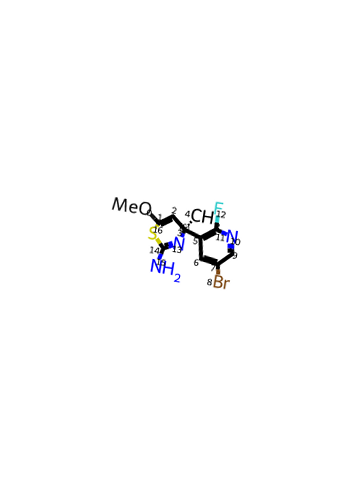 COC1=C[C@@](C)(c2cc(Br)cnc2F)N=C(N)S1